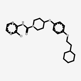 O=C(Nc1nccnc1Cl)N1CCC(Oc2ccc(OCCC3CCCCC3)cc2)CC1